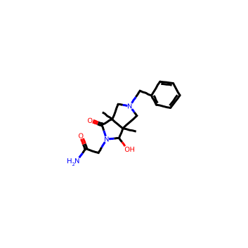 CC12CN(Cc3ccccc3)CC1(C)C(O)N(CC(N)=O)C2=O